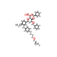 C=CCOCCCCc1ccc(Cc2cc(C3CC(OCc4ccccc4)[C@H](OCc4ccccc4)C(C(=O)O)O3)ccc2C)cc1